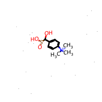 C[N+](C)(C)c1ccc(C(O)S(=O)O)cc1